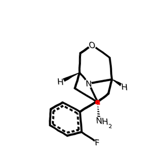 N[C@H]1C[C@H]2COC[C@@H](C1)N2Cc1ccccc1F